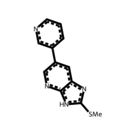 CSc1nc2cc(-c3cccnc3)cnc2[nH]1